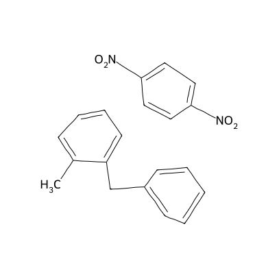 Cc1ccccc1Cc1ccccc1.O=[N+]([O-])c1ccc([N+](=O)[O-])cc1